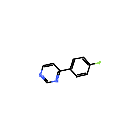 Fc1c[c]c(-c2ccncn2)cc1